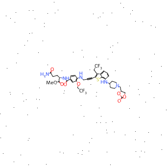 COC(=O)C(CCC(N)=O)NC(=O)c1ccc(NCC#Cc2sc3c(NC4CCN(CC5COC(=O)O5)CC4)cccc3c2CC(F)(F)F)c(OCC(F)(F)F)c1